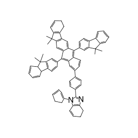 CC1(C)C2=C(CCC=C2)c2cc3c(-c4ccc5c(c4)C(C)(C)c4ccccc4-5)c4ccc(-c5ccc(-c6nc7c(n6C6=CC=CCC6)C=CCC7)cc5)cc4c(-c4ccc5c(c4)C(C)(C)C4C=CC=CC54)c3cc21